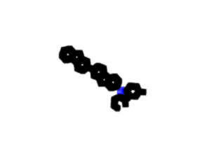 C/C=C\c1c(C)c2c(n1-c1ccc3c(c1)Cc1cc(-c4ccc5c(c4)Cc4ccccc4-5)ccc1-3)C=CC(C)C2